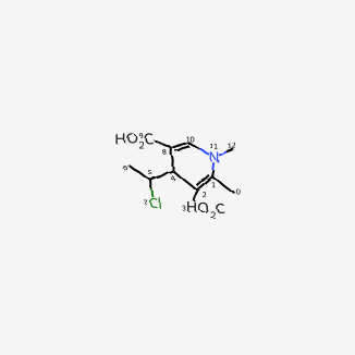 CC1=C(C(=O)O)C(C(C)Cl)C(C(=O)O)=CN1C